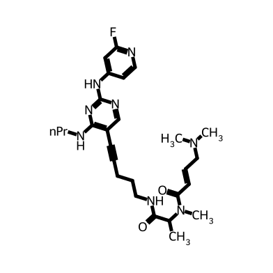 CCCNc1nc(Nc2ccnc(F)c2)ncc1C#CCCCNC(=O)C(C)N(C)C(=O)C=CCN(C)C